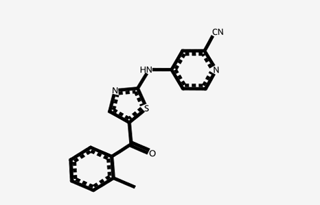 Cc1ccccc1C(=O)c1cnc(Nc2ccnc(C#N)c2)s1